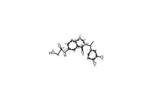 CC(c1ccc(Cl)c(Cl)c1)n1cnc2ccc(NC(=O)CO)cc2c1=O